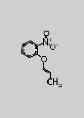 CC=COc1ccccc1[N+](=O)[O-]